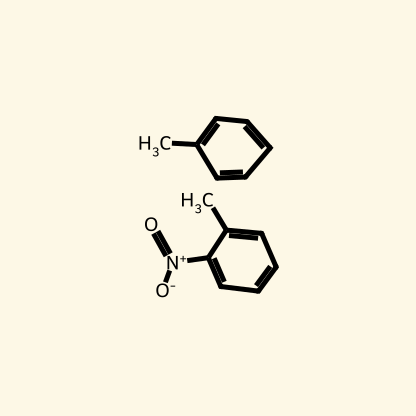 Cc1ccccc1.Cc1ccccc1[N+](=O)[O-]